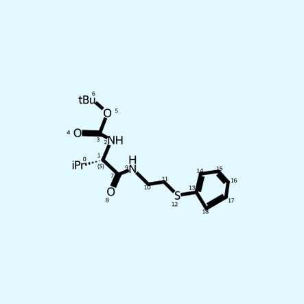 CC(C)[C@H](NC(=O)OC(C)(C)C)C(=O)NCCSc1ccccc1